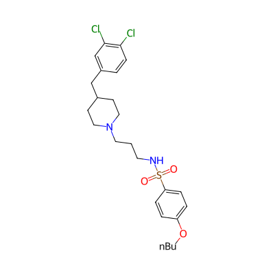 CCCCOc1ccc(S(=O)(=O)NCCCN2CCC(Cc3ccc(Cl)c(Cl)c3)CC2)cc1